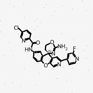 NC1=N[C@@]2(CCO1)c1cc(NC(=O)c3ccc(Cl)cn3)ccc1Oc1cnc(-c3ccnc(F)c3)cc12